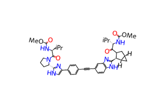 COC(=O)N[C@H](C(=O)C1C[C@@H]2C[C@@H]2[C@H]1c1nc2cc(C#Cc3ccc(-c4c[nH]c([C@@H]5CCCN5C(=O)[C@@H](NC(=O)OC)C(C)C)n4)cc3)ccc2[nH]1)C(C)C